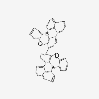 c1ccc2c(c1)Oc1c(-c3ccc4c5c3Oc3ccccc3B5c3cccc5cccc-4c35)ccc3c1B2c1cccc2cccc-3c12